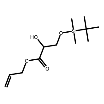 C=CCOC(=O)C(O)CO[Si](C)(C)C(C)(C)C